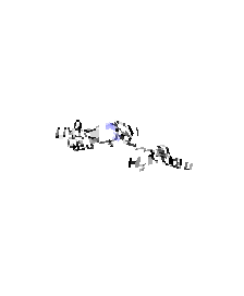 C=C1/C=C(OCCCCCCN(N)C(=O)OC(C)(C)C)\C(O)=C/Cc2cc(=O)c(C(=O)N=O)cn2[C@@H](C(C)(C)C)C1